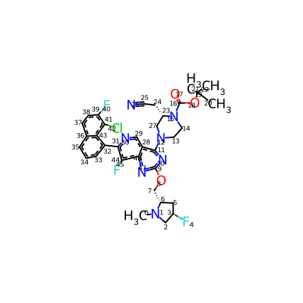 CN1C[C@H](F)C[C@H]1COc1nc(N2CCN(C(=O)OC(C)(C)C)[C@@H](CC#N)C2)c2cnc(-c3cccc4ccc(F)c(Cl)c34)c(F)c2n1